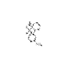 Nc1cccc(C2=CC=CCC2(N)C(F)(F)F)c1